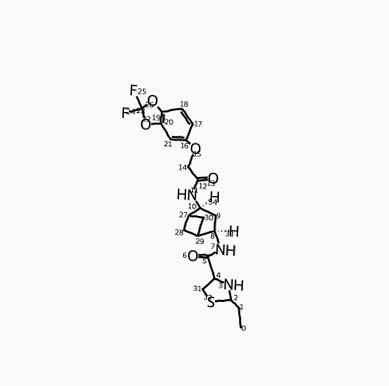 CCC1NC(C(=O)N[C@@H]2C[C@H](NC(=O)COc3ccc4c(c3)OC(F)(F)O4)C3CC2C3)CS1